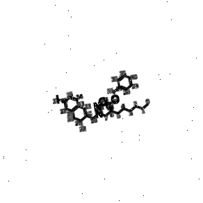 CCCCCCC(CN(N)CC1=Cc2ccc(I)cc2CC1C)C(=O)OCc1ccccc1